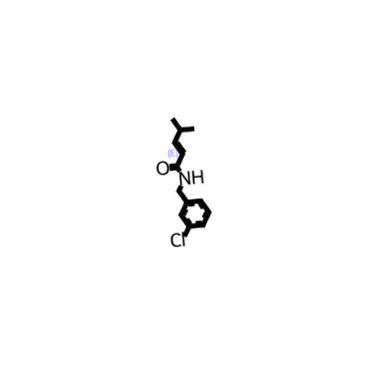 CC(C)/C=C/C(=O)NCc1cccc(Cl)c1